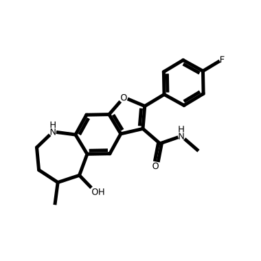 CNC(=O)c1c(-c2ccc(F)cc2)oc2cc3c(cc12)C(O)C(C)CCN3